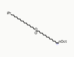 CCCCCCCC/C=C\CCCCCCCCCCCC(=O)OCCCCCCCCCCCCCCCC(C)C